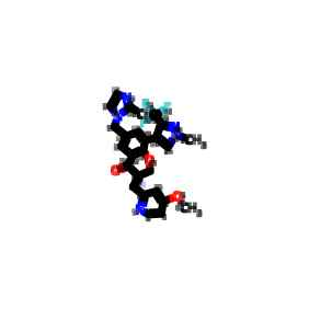 COc1ccnc(/C=C2\COc3c(cc(Cn4ccnc4C)cc3-c3cn(C)nc3C(F)(F)F)C2=O)c1